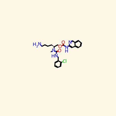 CN(C(=O)NCc1ccccc1Cl)[C@@H](CCCCN)COC(=O)Nc1cc2ccccc2cn1